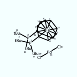 CC(C)(C)P(C(C)(C)C)[C]12[CH]3[CH]4[CH]5[CH]1[Fe]45321678[CH]2[CH]1[CH]6[C]7(P(C(C)(C)C)C(C)(C)C)[CH]28.[Cl][Pd][Cl]